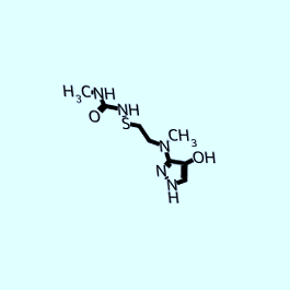 CNC(=O)NSCCN(C)c1n[nH]cc1O